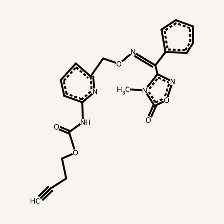 C#CCCOC(=O)Nc1cccc(CO/N=C(/c2ccccc2)c2noc(=O)n2C)n1